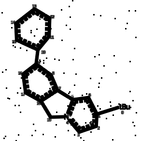 CC(C)(C)c1cc[n+]2c(c1)-c1cc(-c3ccccc3)ccc1C2